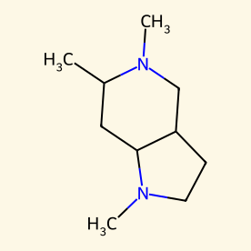 CC1CC2C(CCN2C)CN1C